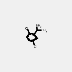 CC([SiH3])c1cc(Cl)ccc1Cl